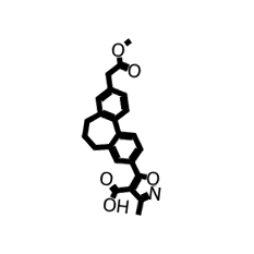 COC(=O)Cc1ccc2c(c1)CCCc1cc(-c3onc(C)c3C(=O)O)ccc1-2